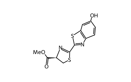 COC(=O)[C@@H]1CSC(c2nc3ccc(O)cc3s2)=N1